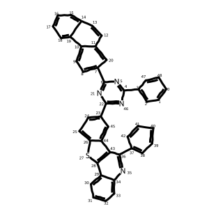 c1ccc(-c2nc(-c3ccc4c(ccc5ccccc54)c3)nc(-c3ccc4sc5c6ccccc6nc(-c6ccccc6)c5c4c3)n2)cc1